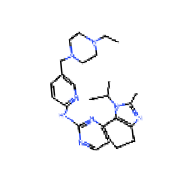 CCN1CCN(Cc2ccc(Nc3ncc4c(n3)-c3c(nc(C)n3C(C)C)CC4)nc2)CC1